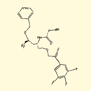 C[C@@H](OCc1ccccc1)[C@@H](COCC(=O)c1cc(F)c(F)c(F)c1)NC(=O)OC(C)(C)C